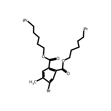 Cc1cc(C(=O)OCCCCCC(C)C)c(C(=O)OCCCCCC(C)C)cc1Br